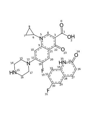 O=C(O)c1cn(C2CC2)c2cc(N3CCNCC3)c(F)cc2c1=O.O=c1ccc2cc(F)ccc2[nH]1